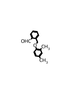 Cc1ccc(OCc2ccccc2C=O)c(C)c1